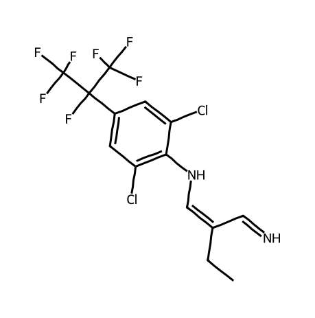 CC/C(C=N)=C/Nc1c(Cl)cc(C(F)(C(F)(F)F)C(F)(F)F)cc1Cl